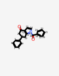 O=C1CC(c2ccccc2)Cc2c1ccn2C(=O)c1ccccc1